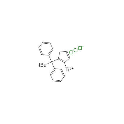 CC(C)(C)C(C1=[C]([Ti+3])C=CC1)(c1ccccc1)c1ccccc1.[Cl-].[Cl-].[Cl-]